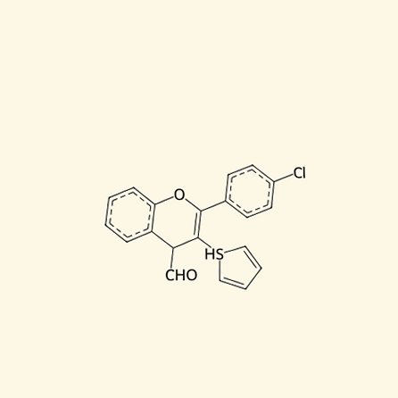 O=CC1C([SH]2C=CC=C2)=C(c2ccc(Cl)cc2)Oc2ccccc21